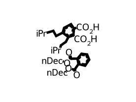 CC(C)CCc1ccc(C(=O)O)c(C(=O)O)c1CCC(C)C.CCCCCCCCCCOC(=O)c1ccccc1C(=O)OCCCCCCCCCC